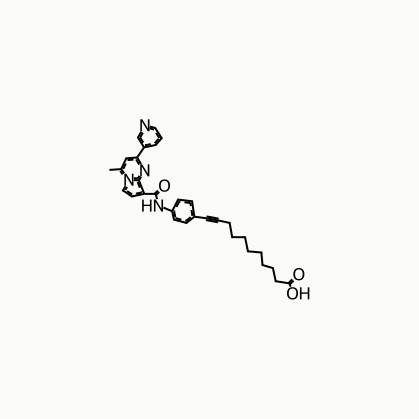 Cc1cc(-c2cccnc2)nc2c(C(=O)Nc3ccc(C#CCCCCCCCCC(=O)O)cc3)ccn12